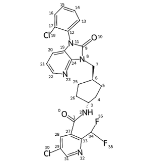 O=C(N[C@H]1CC[C@H](Cn2c(=O)n(-c3ccccc3Cl)c3cccnc32)CC1)c1cc(Cl)cnc1C(F)F